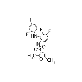 Cc1cc(S(=O)(=O)Nc2ccc(F)c(F)c2Nc2ccc(I)cc2F)c(C)o1